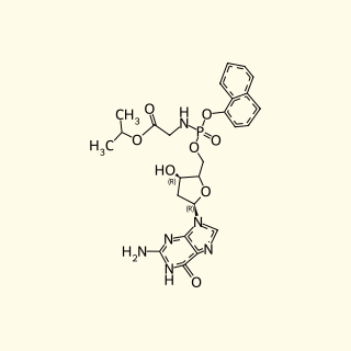 CC(C)OC(=O)CNP(=O)(OCC1O[C@@H](n2cnc3c(=O)[nH]c(N)nc32)C[C@H]1O)Oc1cccc2ccccc12